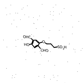 O=Cc1cc(OCCCS(=O)(=O)O)c(C=O)cc1O